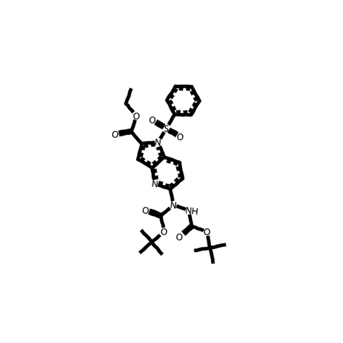 CCOC(=O)c1cc2nc(N(NC(=O)OC(C)(C)C)C(=O)OC(C)(C)C)ccc2n1S(=O)(=O)c1ccccc1